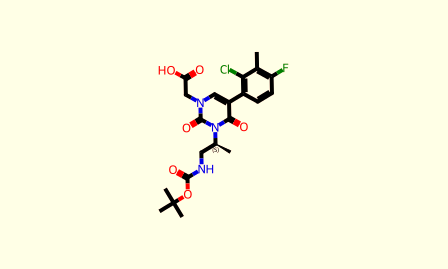 Cc1c(F)ccc(-c2cn(CC(=O)O)c(=O)n([C@@H](C)CNC(=O)OC(C)(C)C)c2=O)c1Cl